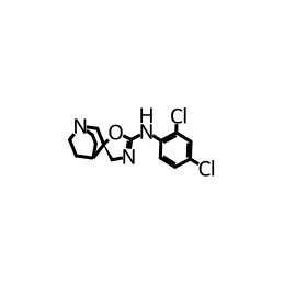 Clc1ccc(NC2=NC[C@@]3(CN4CCC3CC4)O2)c(Cl)c1